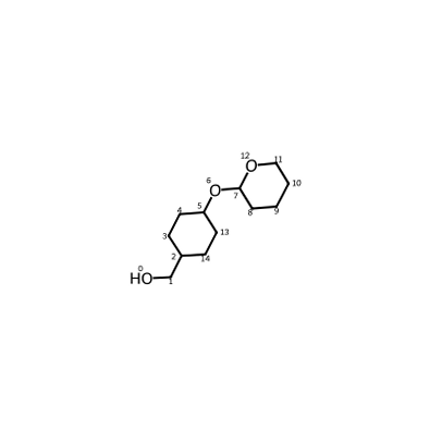 OCC1CCC(OC2CCCCO2)CC1